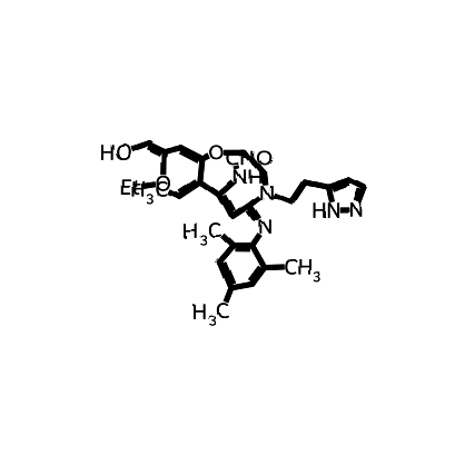 C/C=C1C(/NC=O)=C/C(=N\c2c(C)cc(C)cc2C)N(CCc2ccn[nH]2)CCOC/1=C/C(=C/O)OCC